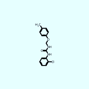 [CH2]c1ccc(OCNC(=O)Nc2ccccc2Cl)cc1